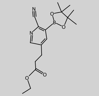 CCOC(=O)CCc1cnc(C#N)c(B2OC(C)(C)C(C)(C)O2)c1